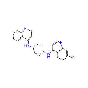 Clc1ccc2c(NC3CCC(Nc4ccnc5ccccc45)CC3)ccnc2c1